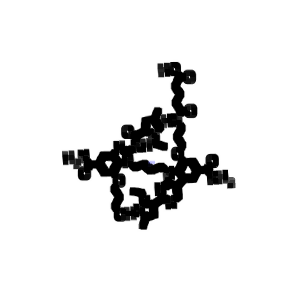 CCn1cc(C)cc1C(=O)Nc1nc2cc(C(N)=O)cc(OCCCO)c2n1C/C=C/Cn1c2nc(-c3cc(C)nn3CC)ncc2c2cc(C(N)=O)cc(OCCCNC(=O)CCCC(=O)O)c21